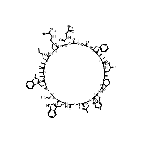 CCCC[C@H]1C(=O)N[C@@H](CCCNC(=N)N)C(=O)N[C@H](C(=O)NCC(N)=O)CC(=O)NCC(=O)N[C@@H](Cc2ccccc2)C(=O)N(C)[C@@H](C)C(=O)N[C@@H](CC(N)=O)C(=O)N2CCC[C@H]2C(=O)N[C@@H](Cc2cnc[nH]2)C(=O)N[C@@H](CC(C)C)C(=O)N(C)CC(=O)N[C@@H](Cc2c[nH]c3ccccc23)C(=O)N[C@@H](CO)CN[C@@H](Cc2c[nH]c3ccccc23)C(=O)N(C)[C@@H](C)C(=O)N1C